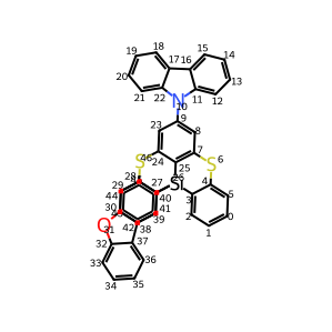 c1ccc2c(c1)Sc1cc(-n3c4ccccc4c4ccccc43)cc3c1[Si]2(c1ccc2oc4ccccc4c2c1)c1ccccc1S3